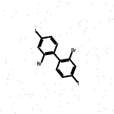 Brc1cc(I)ccc1-c1ccc(I)cc1Br